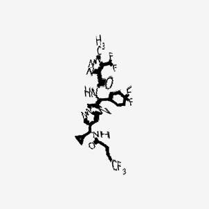 Cn1nnc(C(=O)N[C@H](c2cn3ncc([C@H](NC(=O)CCC(F)(F)F)C4CC4)cc3n2)C2CCC(F)(F)CC2)c1C(F)F